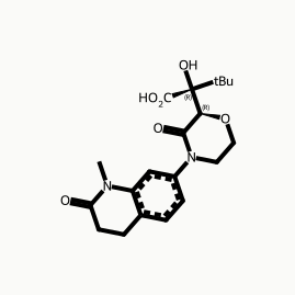 CN1C(=O)CCc2ccc(N3CCO[C@H]([C@@](O)(C(=O)O)C(C)(C)C)C3=O)cc21